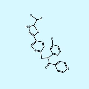 O=C(c1ccncc1)N(Cc1ccc(C2=NNC(C(F)F)O2)cn1)c1cccc(F)c1